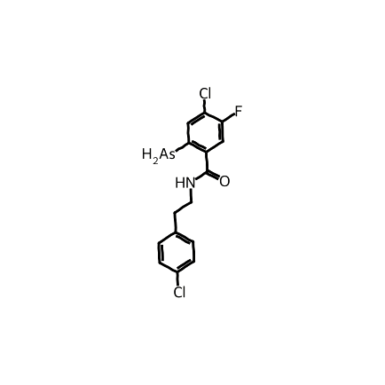 O=C(NCCc1ccc(Cl)cc1)c1cc(F)c(Cl)cc1[AsH2]